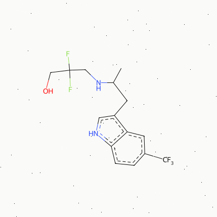 CC(Cc1c[nH]c2ccc(C(F)(F)F)cc12)NCC(F)(F)CO